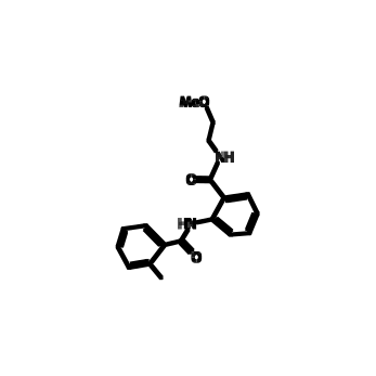 COCCNC(=O)c1ccccc1NC(=O)c1ccccc1C